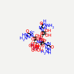 CO[C@@H]1[C@H](OP(=O)(O)OC[C@H]2O[C@@H](n3cnc4c(=O)[nH]c(N)nc43)[C@H](O)[C@@H]2O)[C@@H](COP(=O)(O)OP(=O)(O)OP(=O)(O)OC[C@H]2OC(n3c[n+](C)c4c(=O)[nH]c(N)nc43)[C@H](O)[C@@H]2CNC(C)=O)O[C@H]1n1cnc2c(=O)[nH]c(N)nc21